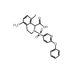 Cc1ccc(F)c2c1CCN(S(=O)(=O)c1ccc(Oc3ccccc3)nc1)C2C(=O)O